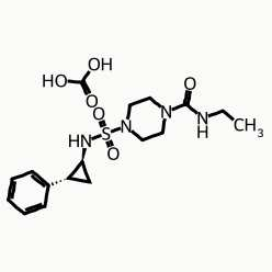 CCNC(=O)N1CCN(S(=O)(=O)N[C@H]2C[C@@H]2c2ccccc2)CC1.O=C(O)O